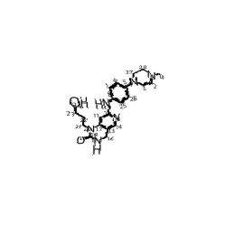 CN1CCN(c2ccc(Nc3cc4c(cn3)CNC(=O)N4CCCO)cc2)CC1